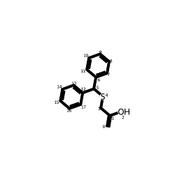 C=C(O)CSC(c1ccccc1)c1ccccc1